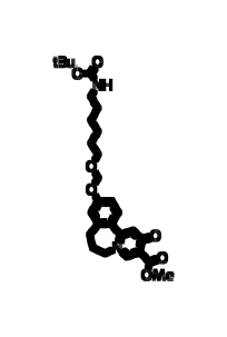 COC(=O)c1cn2c(cc1=O)-c1ccc(OCOCCCCCCNC(=O)OC(C)(C)C)cc1CCC2